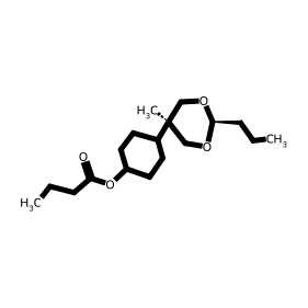 CCCC(=O)OC1CCC([C@]2(C)CO[C@H](CCC)OC2)CC1